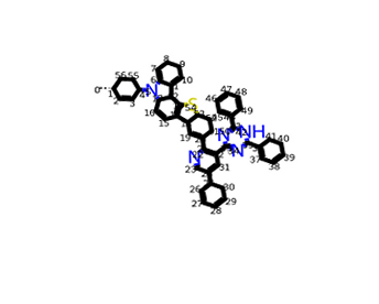 C[C@H]1C=CC(N2C3=CCCC=C3C3C4=C(C=CC32)C2C=C(c3ncc(C5C=CC=CC5)cc3C3=NC(C5=CC=CCC5)NC(c5ccccc5)=N3)CCC2S4)CC1